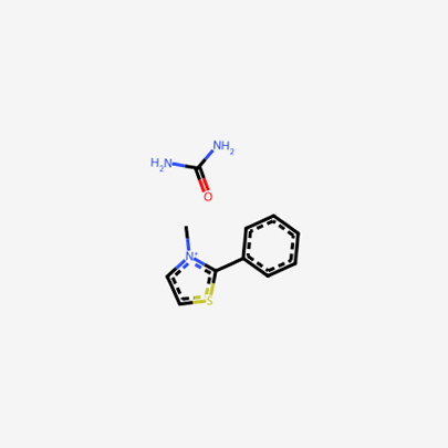 C[n+]1ccsc1-c1ccccc1.NC(N)=O